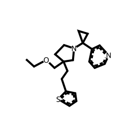 CCOCC1(CCc2cccs2)CCN(C2(c3cccnc3)CC2)C1